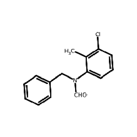 Cc1c(Cl)cccc1N([C]=O)Cc1ccccc1